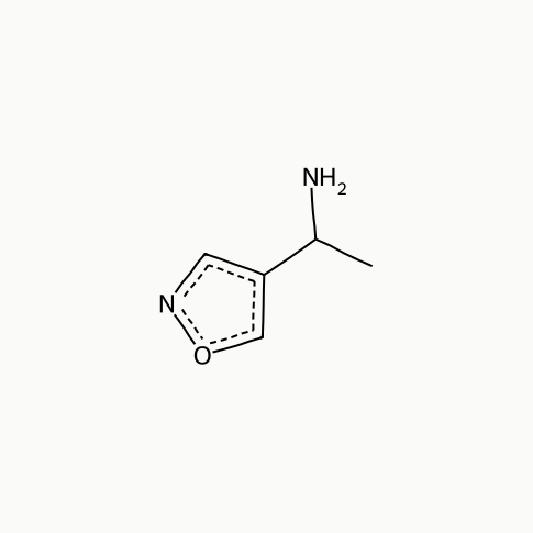 CC(N)c1cnoc1